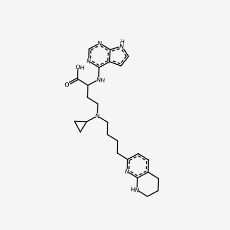 O=C(O)C(CCN(CCCCc1ccc2c(n1)NCCC2)C1CC1)Nc1ncnc2[nH]ccc12